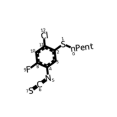 CCCCCSc1cc(N=C=S)c(F)cc1Cl